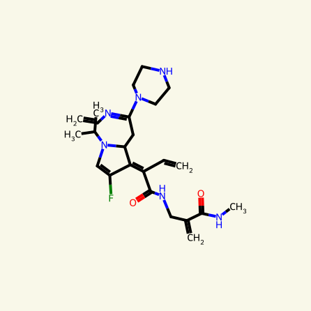 C=C/N=C(\CC1/C(=C(\C=C)C(=O)NCC(=C)C(=O)NC)C(F)=CN1C(C)C)N1CCNCC1